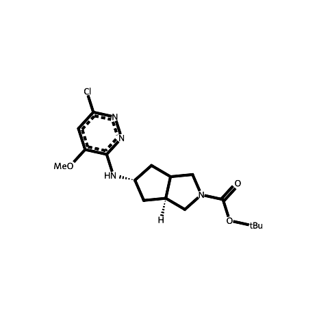 COc1cc(Cl)nnc1N[C@@H]1CC2CN(C(=O)OC(C)(C)C)C[C@H]2C1